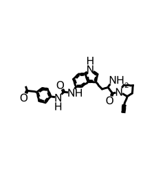 C#CC1CCCN1C(=O)C(N)Cc1c[nH]c2ccc(NC(=O)Nc3ccc(C(C)=O)cc3)cc12